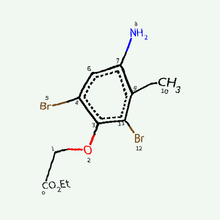 CCOC(=O)COc1c(Br)cc(N)c(C)c1Br